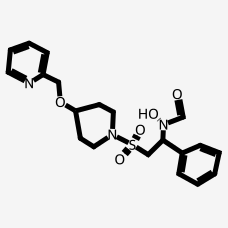 O=CN(O)C(CS(=O)(=O)N1CCC(OCc2ccccn2)CC1)c1ccccc1